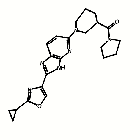 O=C(C1CCCN(c2ccc3nc(-c4coc(C5CC5)n4)[nH]c3n2)C1)N1CCCC1